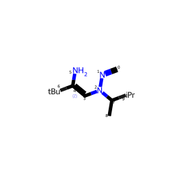 C=NN(/C=C(\N)C(C)(C)C)C(C)C(C)C